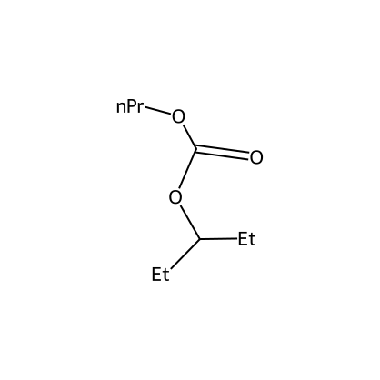 CCCOC(=O)OC(CC)CC